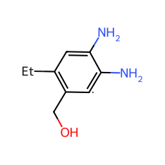 CCc1cc(N)c(N)[c]c1CO